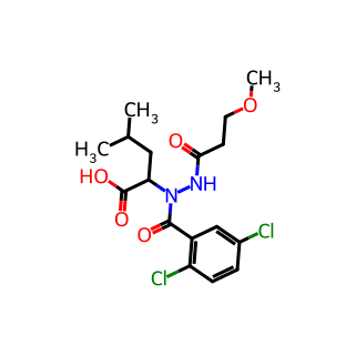 COCCC(=O)NN(C(=O)c1cc(Cl)ccc1Cl)C(CC(C)C)C(=O)O